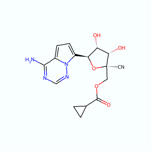 N#C[C@]1(COC(=O)C2CC2)O[C@@H](c2ccc3c(N)ncnn23)[C@H](O)[C@@H]1O